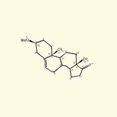 CO[C@H]1CC[C@@]2(C)C(=CCC3C2CC[C@]2(C)C(=O)CCC32)C1